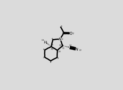 CC(=O)N1C[C@@H]2CCCCC2[C@H]1C#N